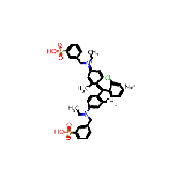 CCN(Cc1cccc(S(=O)(=O)O)c1)c1ccc(C(=C2C=CC(=[N+](CC)Cc3cccc(S(=O)(=O)O)c3)C=C2C)c2ccccc2Cl)c(C)c1.[Na+]